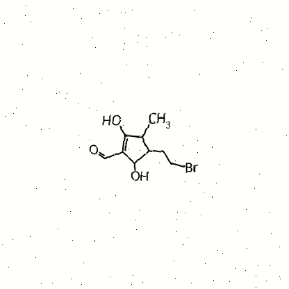 CC1C(O)=C(C=O)C(O)C1CCBr